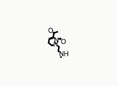 CNCCN1CCC=C(C(C)=O)N1C=O